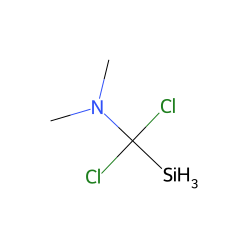 CN(C)C([SiH3])(Cl)Cl